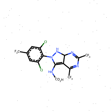 O=C(O)NC1=C2C(C(F)(F)F)=NC(C(F)(F)F)=NC2NN1c1c(Cl)cc(C(F)(F)F)cc1Cl